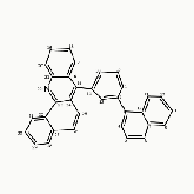 c1cc(-c2cccc3ccccc23)cc(-c2c3ccccc3nc3c2ccc2ccccc23)c1